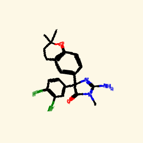 CN1C(=O)C(c2ccc(F)c(Br)c2)(c2ccc3c(c2)CCC(C)(C)O3)N=C1N